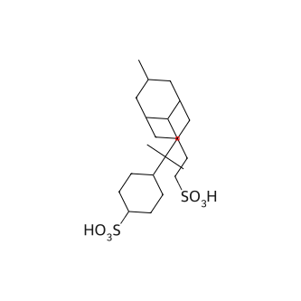 CC1CC2CC(CCS(=O)(=O)O)CC(C1)C2CC(C)(C)C1CCC(S(=O)(=O)O)CC1